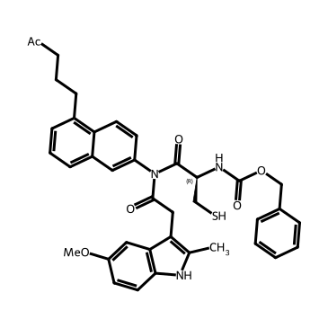 COc1ccc2[nH]c(C)c(CC(=O)N(C(=O)[C@H](CS)NC(=O)OCc3ccccc3)c3ccc4c(CCCC(C)=O)cccc4c3)c2c1